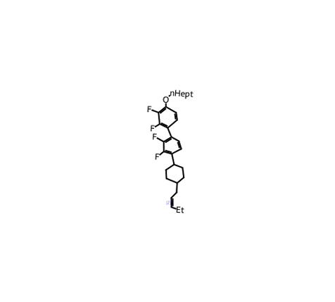 CC/C=C\CC1CCC(c2ccc(-c3ccc(OCCCCCCC)c(F)c3F)c(F)c2F)CC1